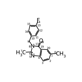 Cc1ccc2nc(C)n(Cc3ccc(F)cc3)c(=O)c2c1